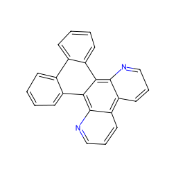 c1ccc2c(c1)c1ccccc1c1c3ncccc3c3cccnc3c21